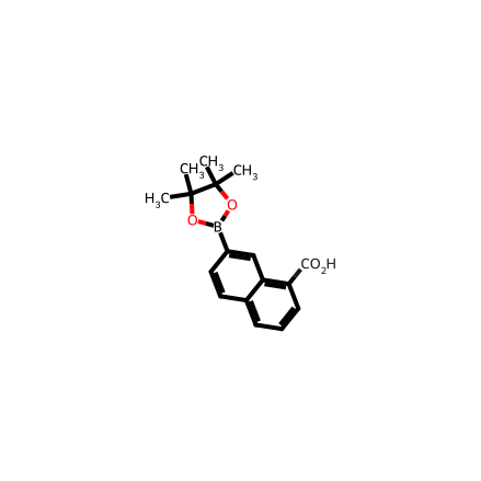 CC1(C)OB(c2ccc3cccc(C(=O)O)c3c2)OC1(C)C